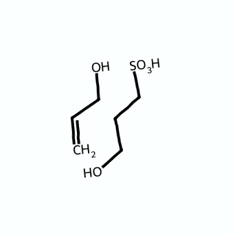 C=CCO.O=S(=O)(O)CCCO